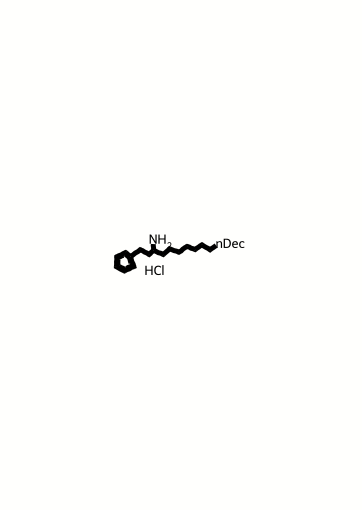 CCCCCCCCCCCCCCCCCC(N)CCc1ccccc1.Cl